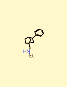 CCNCC12CCC(C1)C(c1ccccc1)C2